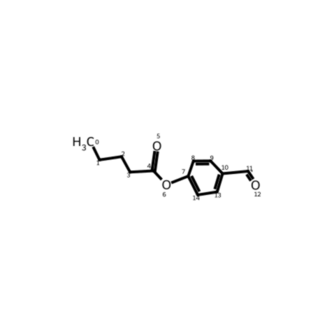 CCCCC(=O)Oc1ccc([C]=O)cc1